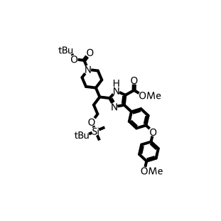 COC(=O)c1[nH]c(C(CCO[Si](C)(C)C(C)(C)C)C2CCN(C(=O)OC(C)(C)C)CC2)nc1-c1ccc(Oc2ccc(OC)cc2)cc1